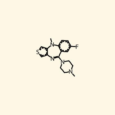 CN1CCN(C2=Nc3cscc3N(C)c3ccc(F)cc32)CC1